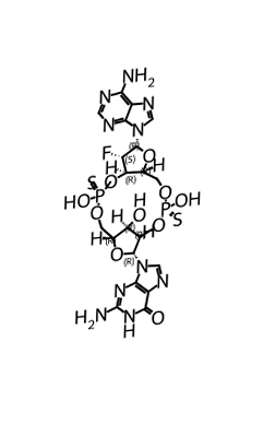 Nc1nc2c(ncn2[C@@H]2O[C@@H]3COP(O)(=S)O[C@H]4[C@H](F)[C@H](n5cnc6c(N)ncnc65)O[C@@H]4COP(O)(=S)O[C@@H]2[C@@H]3O)c(=O)[nH]1